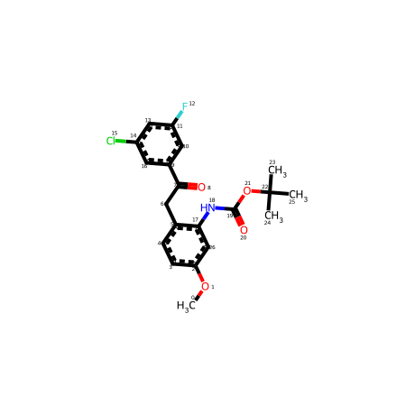 COc1ccc(CC(=O)c2cc(F)cc(Cl)c2)c(NC(=O)OC(C)(C)C)c1